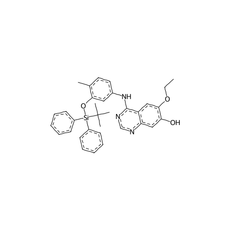 CCOc1cc2c(Nc3ccc(C)c(O[Si](c4ccccc4)(c4ccccc4)C(C)(C)C)c3)ncnc2cc1O